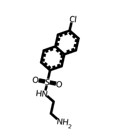 NCCNS(=O)(=O)c1ccc2cc(Cl)ccc2c1